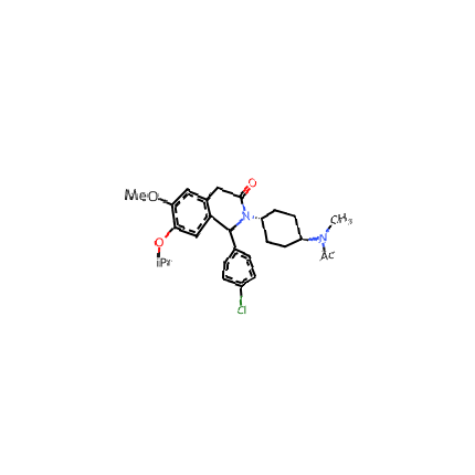 COc1cc2c(cc1OC(C)C)C(c1ccc(Cl)cc1)N([C@H]1CC[C@H](N(C)C(C)=O)CC1)C(=O)C2